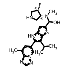 Cc1cc(-c2[nH]c3cc(C(O)N(C)[C@@H]4CNC[C@H]4F)sc3c2C(C)C)cn2ncnc12